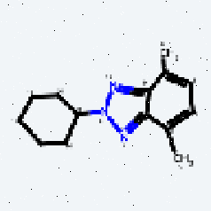 Cc1ccc(C)c2nn(C3CCCCC3)nc12